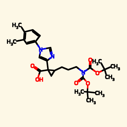 Cc1ccc(-n2cnc(C3(C(=O)O)CC3CCCN(C(=O)OC(C)(C)C)C(=O)OC(C)(C)C)c2)cc1C